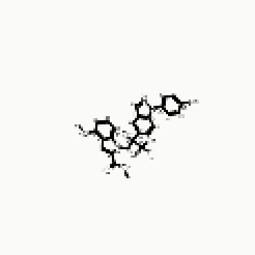 COC(=O)c1cc2c(OC)cccc2n1CC(O)(c1ccc2c(cnn2-c2ccc(F)cc2)c1)C(F)(F)F